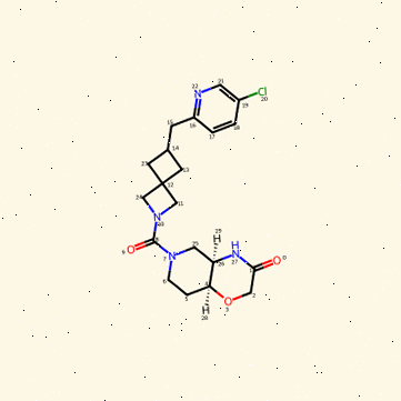 O=C1CO[C@H]2CCN(C(=O)N3CC4(CC(Cc5ccc(Cl)cn5)C4)C3)C[C@H]2N1